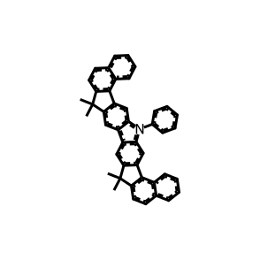 CC1(C)c2cc3c4cc5c(cc4n(-c4ccccc4)c3cc2-c2c1ccc1ccccc21)-c1c(ccc2ccccc12)C5(C)C